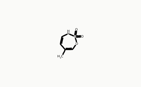 CC1=COS(=O)(=O)NC=C1